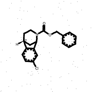 O=C(OCc1ccccc1)N1CC[C@@H]2CC1c1cc(Cl)ccc12